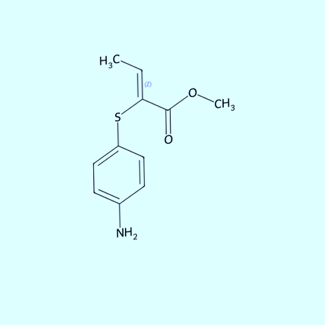 C/C=C(\Sc1ccc(N)cc1)C(=O)OC